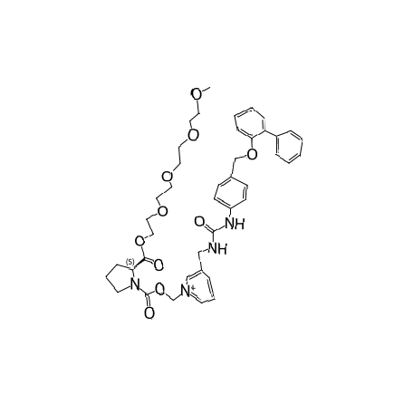 COCCOCCOCCOCCOC(=O)[C@@H]1CCCN1C(=O)OC[n+]1cccc(CNC(=O)Nc2ccc(COc3ccccc3-c3ccccc3)cc2)c1